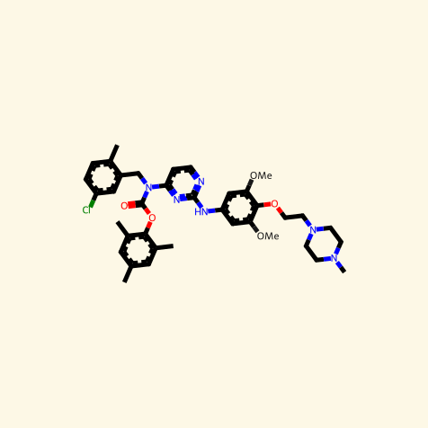 COc1cc(Nc2nccc(N(Cc3cc(Cl)ccc3C)C(=O)Oc3c(C)cc(C)cc3C)n2)cc(OC)c1OCCN1CCN(C)CC1